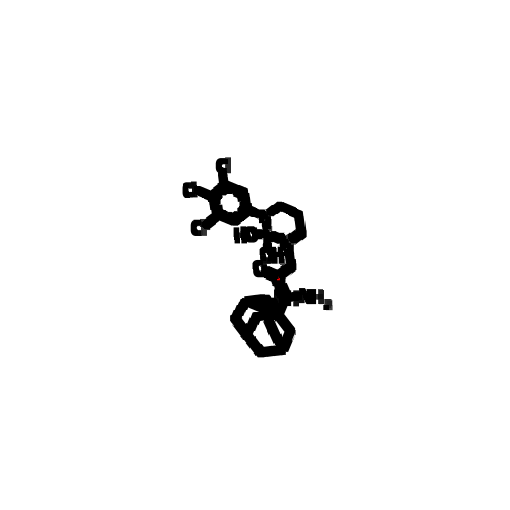 NC(=O)C12CC3CC(C1)C(NC(=O)CN1CCCN(c4cc(Cl)c(Cl)c(Cl)c4)S1(O)O)C(C3)C2